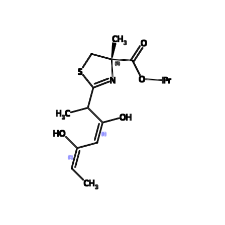 C/C=C(O)\C=C(\O)C(C)C1=N[C@@](C)(C(=O)OC(C)C)CS1